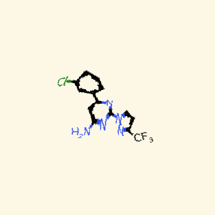 Nc1cc(-c2cccc(Cl)c2)nc(-n2ccc(C(F)(F)F)n2)n1